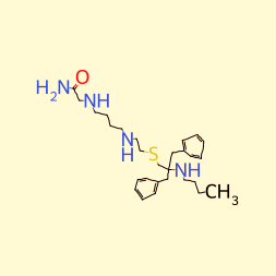 CCCCNC(CSCCNCCCCNCC(N)=O)(Cc1ccccc1)Cc1ccccc1